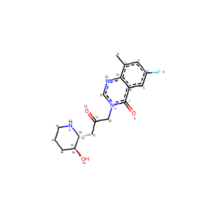 Cc1cc(F)cc2c(=O)n(CC(=O)C[C@H]3NCCC[C@@H]3O)cnc12